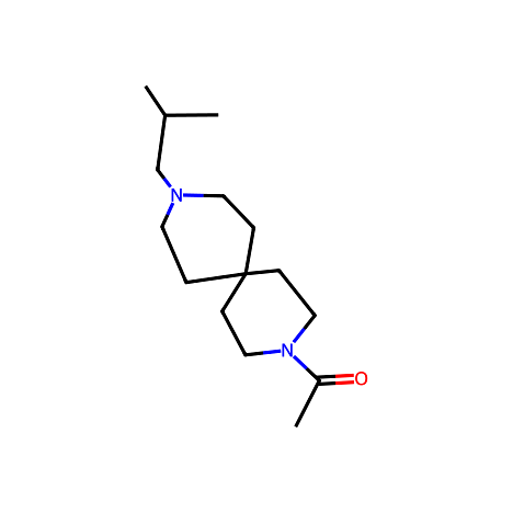 CC(=O)N1CCC2(CCN(CC(C)C)CC2)CC1